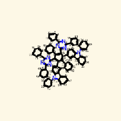 c1ccc(-c2nc(-c3ccccc3)nc(-c3c(-c4ccc5c(c4)c4ccccc4n5-c4ccccc4)c(-c4ccccc4)c(-c4ccc5c(c4)c4ccccc4n5-c4ccccc4)c(-c4nc(-c5ccccc5)nc(-c5ccccc5)n4)c3-c3ccccc3)n2)cc1